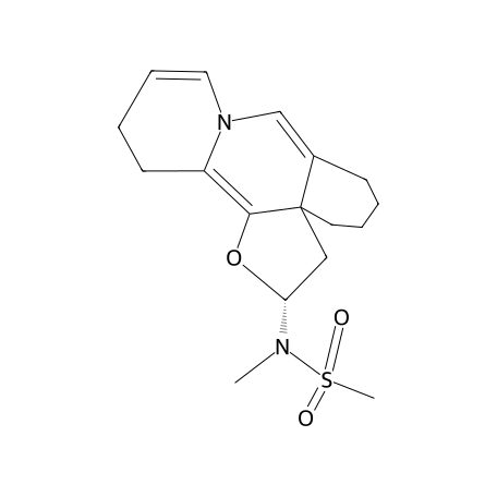 CN([C@H]1CC23CCCCC2=CN2C=CCCC2=C3O1)S(C)(=O)=O